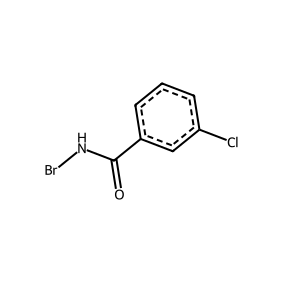 O=C(NBr)c1cccc(Cl)c1